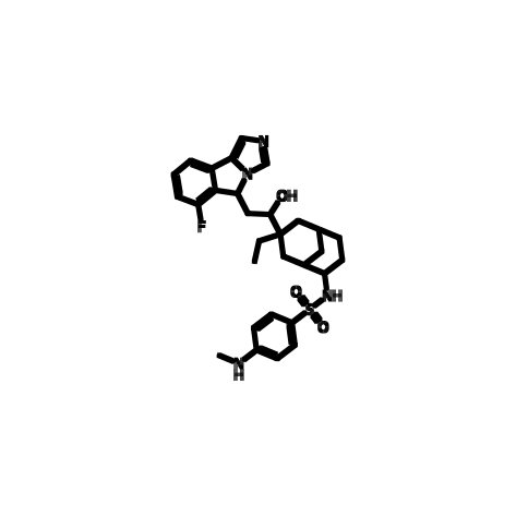 CCC1(C(O)CC2c3c(F)cccc3-c3cncn32)CC2CCC(NS(=O)(=O)c3ccc(NC)cc3)C(C2)C1